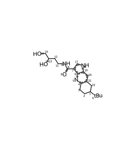 CC(C)(C)C1CCc2nc3c(C(=O)NCCC(O)CO)c[nH]c3cc2C1